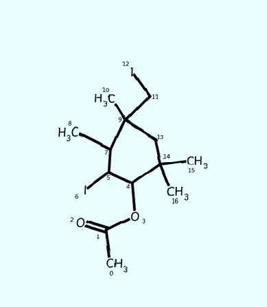 CC(=O)OC1C(I)C(C)C(C)(CI)CC1(C)C